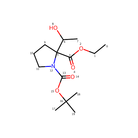 CCOC(=O)C1(C(C)O)CCCN1C(=O)OC(C)(C)C